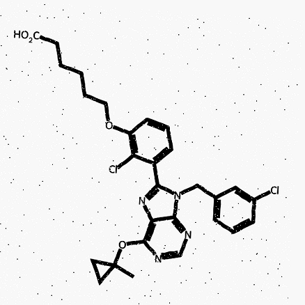 CC1(Oc2ncnc3c2nc(-c2cccc(OCCCCCC(=O)O)c2Cl)n3Cc2cccc(Cl)c2)CC1